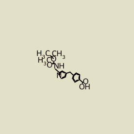 CC(C)(C)OC(=O)NCc1cc(Cc2ccc(C(=O)O)cc2)ccn1